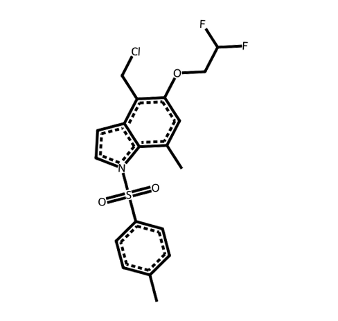 Cc1ccc(S(=O)(=O)n2ccc3c(CCl)c(OCC(F)F)cc(C)c32)cc1